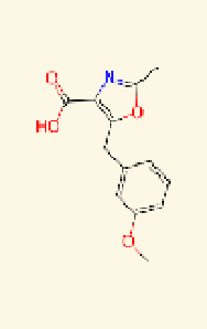 COc1cccc(Cc2oc(C)nc2C(=O)O)c1